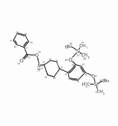 CC(C)(C)[Si](C)(C)Oc1ccc(C2CCC(NOC(=O)c3ccccc3)CC2)c(O[Si](C)(C)C(C)(C)C)c1